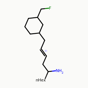 CCCCCCC(N)C/C=C/CC1CCCC(CF)C1